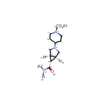 CCOC(=O)N1CCC(N2C[C@@H]3[C@H](C2)[C@H]3C(=O)N(CC)C(C)C)CC1